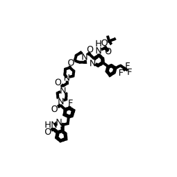 CC(C)(C)OC(=O)Nc1cc(-c2cccc(CC(F)(F)F)c2)cnc1C(=O)N1CCC(OC2CCN(CC(=O)N3CCN(C(=O)c4cc(Cc5n[nH]c(=O)c6ccccc56)ccc4F)CC3)CC2)CC1